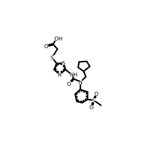 CS(=O)(=O)c1cccc(N(CC2CCCC2)C(=O)Nc2ncc(SCC(=O)O)s2)c1